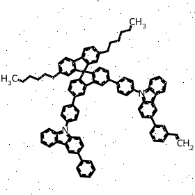 C=Cc1cccc(-c2ccc3c(c2)c2ccccc2n3-c2ccc(-c3ccc4c(c3)-c3cc(-c5ccc(-n6c7ccccc7c7cc(-c8ccccc8)ccc76)cc5)ccc3C43c4cc(CCCCCC)ccc4-c4ccc(CCCCCC)cc43)cc2)c1